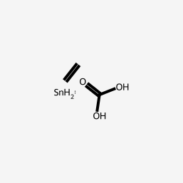 C=C.O=C(O)O.[SnH2]